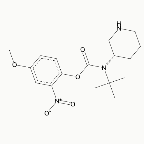 COc1ccc(OC(=O)N([C@H]2CCCNC2)C(C)(C)C)c([N+](=O)[O-])c1